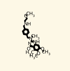 COCCNCc1ccc(CN(C)c2nc(=O)c3c(C)c(OC)c(OC)cc3[nH]2)cc1